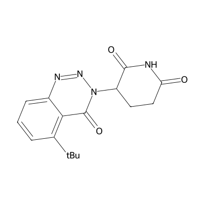 CC(C)(C)c1cccc2nnn(C3CCC(=O)NC3=O)c(=O)c12